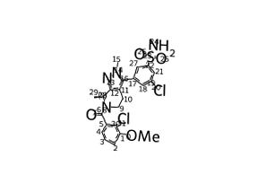 COc1cccc(C(=O)N2CCc3c(nn(C)c3-c3cc(Cl)cc(S(N)(=O)=O)c3)[C@@H]2C)c1Cl